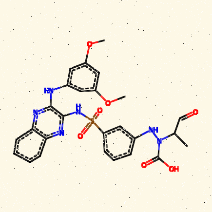 COc1cc(Nc2nc3ccccc3nc2NS(=O)(=O)c2cccc(NN(C(=O)O)C(C)C=O)c2)cc(OC)c1